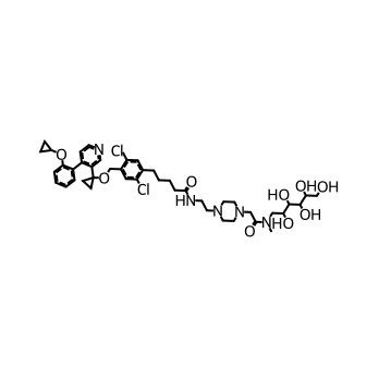 CN(CC(O)C(O)C(O)C(O)CO)C(=O)CN1CCN(CCNC(=O)CCCCc2cc(Cl)c(COC3(c4cnccc4-c4ccccc4OC4CC4)CC3)cc2Cl)CC1